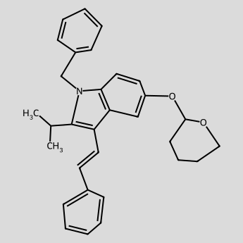 CC(C)c1c(C=Cc2ccccc2)c2cc(OC3CCCCO3)ccc2n1Cc1ccccc1